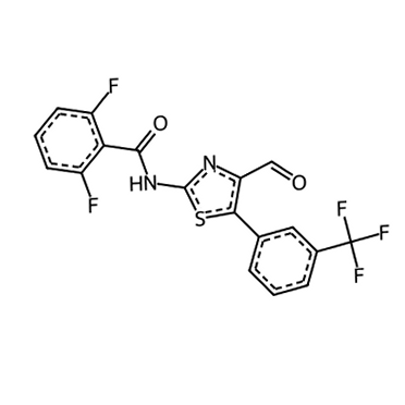 O=Cc1nc(NC(=O)c2c(F)cccc2F)sc1-c1cccc(C(F)(F)F)c1